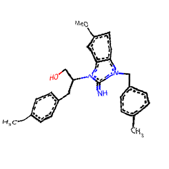 COc1ccc2c(c1)n(C(CO)Cc1ccc(C)cc1)c(=N)n2Cc1ccc(C)cc1